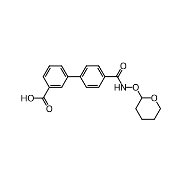 O=C(O)c1cccc(-c2ccc(C(=O)NOC3CCCCO3)cc2)c1